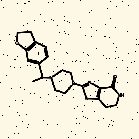 CC(c1ccc2c(c1)OCC2)N1CCN(c2nc3c(s2)CCNC3=O)CC1